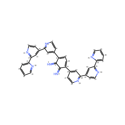 N=C1C(=N)C(c2ccnc(-c3ccnc(-c4ccccn4)c3)c2)=CC=C1c1ccnc(-c2ccnc(-c3ccccn3)c2)c1